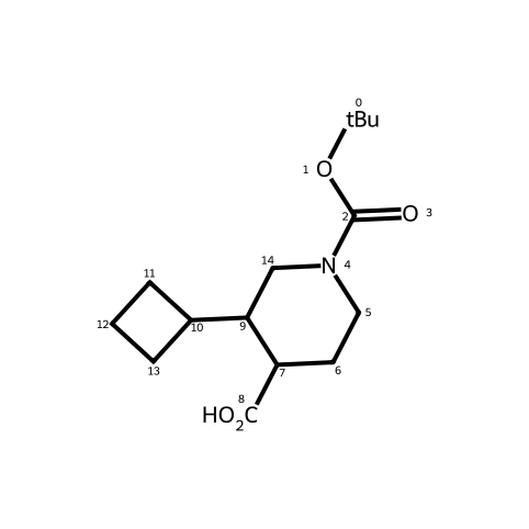 CC(C)(C)OC(=O)N1CCC(C(=O)O)C(C2CCC2)C1